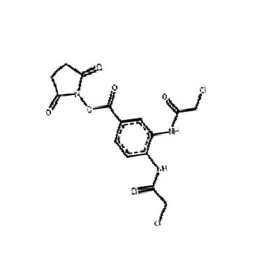 O=C(CCl)Nc1ccc(C(=O)ON2C(=O)CCC2=O)cc1NC(=O)CCl